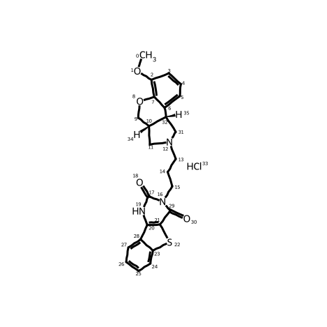 COc1cccc2c1OC[C@H]1CN(CCCn3c(=O)[nH]c4c(sc5ccccc54)c3=O)C[C@@H]21.Cl